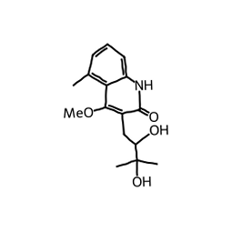 COc1c(CC(O)C(C)(C)O)c(=O)[nH]c2cccc(C)c12